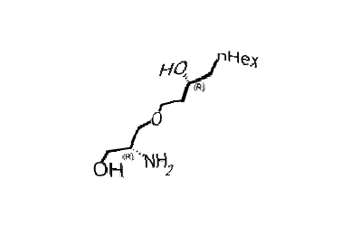 CCCCCCC[C@@H](O)CCOC[C@H](N)CO